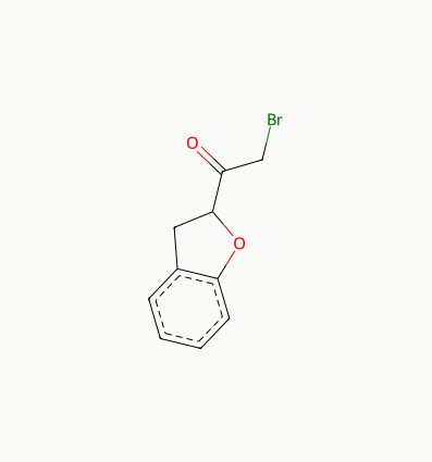 O=C(CBr)C1Cc2ccccc2O1